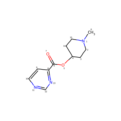 CN1CCC(OC(=O)c2ccncn2)CC1